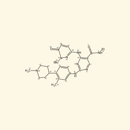 CCNC(=O)c1cnc(Nc2ccc(C3CCN(C)CC3)c(C)c2)nc1Nc1ccc(=O)n(C(C)(C)C)n1